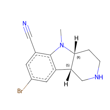 CN1c2c(C#N)cc(Br)cc2[C@H]2CNCC[C@H]21